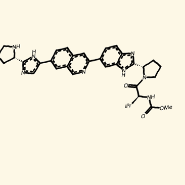 COC(=O)N[C@H](C(=O)N1CCC[C@H]1c1nc2ccc(-c3cc4ccc(-c5cnc([C@@H]6CCCN6)[nH]5)cc4cn3)cc2[nH]1)C(C)C